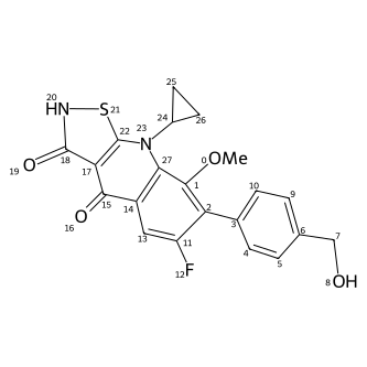 COc1c(-c2ccc(CO)cc2)c(F)cc2c(=O)c3c(=O)[nH]sc3n(C3CC3)c12